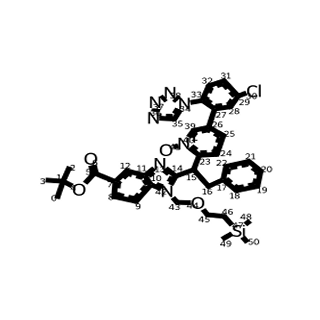 CC(C)(C)OC(=O)c1ccc2c(c1)nc(C(Cc1ccccc1)c1ccc(-c3cc(Cl)ccc3-n3cnnn3)c[n+]1[O-])n2COCC[Si](C)(C)C